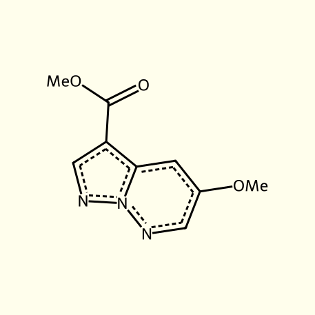 COC(=O)c1cnn2ncc(OC)cc12